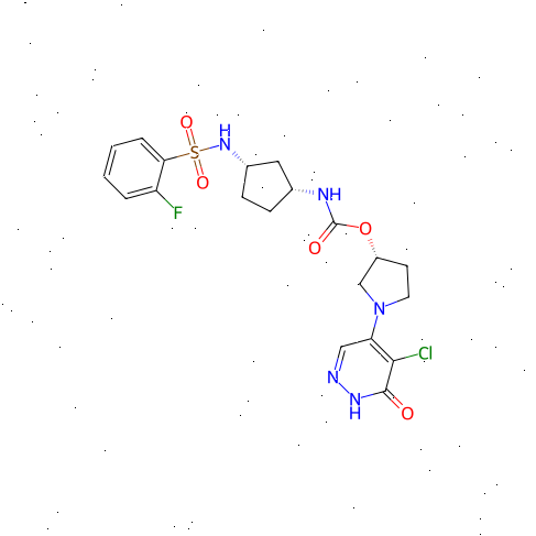 O=C(N[C@@H]1CC[C@H](NS(=O)(=O)c2ccccc2F)C1)O[C@@H]1CCN(c2cn[nH]c(=O)c2Cl)C1